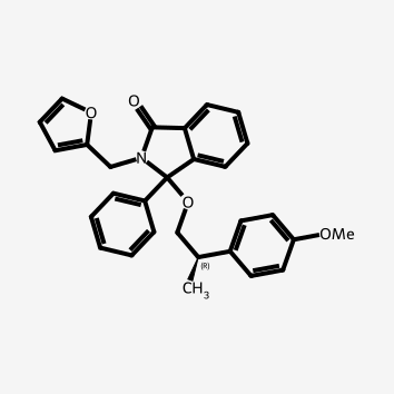 COc1ccc([C@@H](C)COC2(c3ccccc3)c3ccccc3C(=O)N2Cc2ccco2)cc1